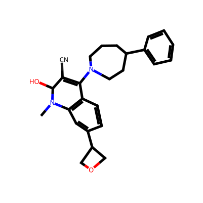 CN1c2cc(C3COC3)ccc2C(N2CCCC(c3ccccc3)CC2)=C(C#N)C1O